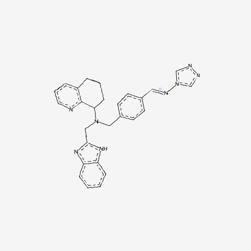 C(=N\n1cnnc1)/c1ccc(CN(Cc2nc3ccccc3[nH]2)C2CCCc3cccnc32)cc1